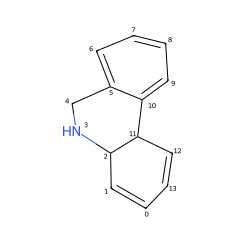 C1=CC2NCc3ccccc3C2C=C1